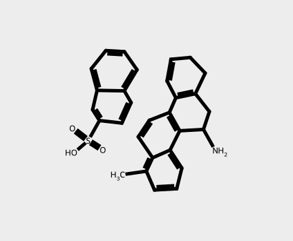 Cc1cccc2c3c(ccc12)C1=C(CCC=C1)CC3N.O=S(=O)(O)c1ccc2ccccc2c1